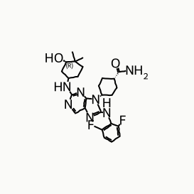 CC1(C)CCC(Nc2ncc3nc(Nc4c(F)cccc4F)n([C@H]4CC[C@@H](C(N)=O)CC4)c3n2)C[C@H]1O